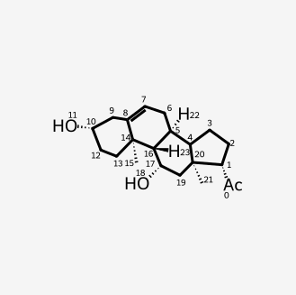 CC(=O)[C@H]1CCC2[C@@H]3CC=C4C[C@@H](O)CC[C@]4(C)[C@H]3[C@@H](O)C[C@@]21C